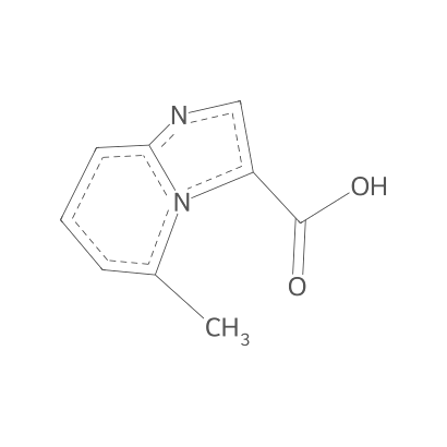 Cc1cccc2ncc(C(=O)O)n12